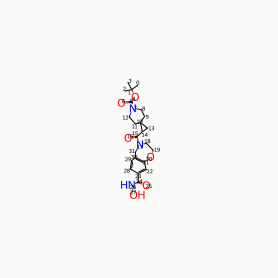 CC(C)(C)OC(=O)N1CCC2(CC1)CC2C(=O)N1CCOc2cc(C(=O)NO)ccc2C1